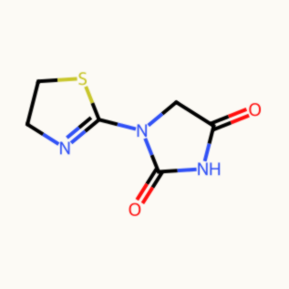 O=C1CN(C2=NCCS2)C(=O)N1